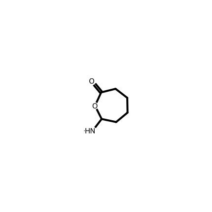 [NH]C1CCCCC(=O)O1